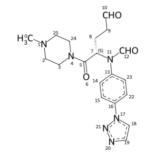 CN1CCN(C(=O)[C@H](CCC=O)N(C=O)c2ccc(-n3ccnn3)cc2)CC1